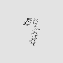 OC(COc1cccc(-c2noc3cc(F)ccc23)c1)CN1CCC(Oc2cccc(Cl)c2)CC1